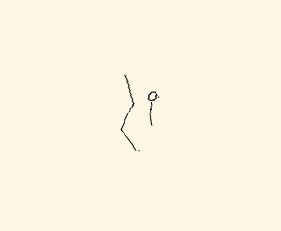 C[O].[CH2]CCC